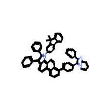 CC1(C)c2ccccc2-c2ccc(-n3c(-c4ccccc4)c(-c4ccccc4)c4ccc5c6cccc(-c7ccc(-c8c(-c9ccccc9)nc9ccccn89)cc7)c6ccc5c43)cc21